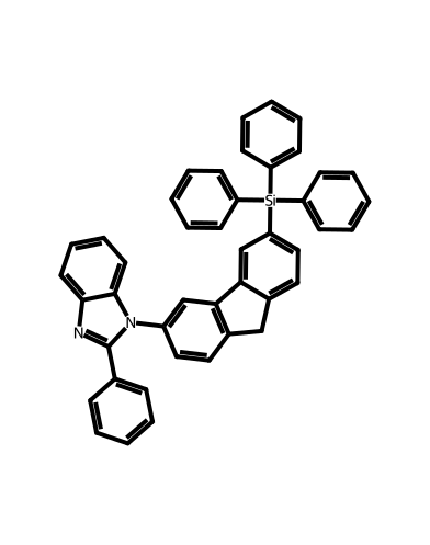 c1ccc(-c2nc3ccccc3n2-c2ccc3c(c2)-c2cc([Si](c4ccccc4)(c4ccccc4)c4ccccc4)ccc2C3)cc1